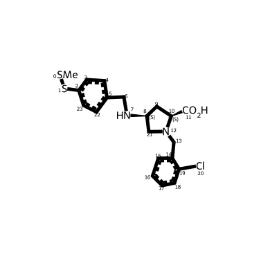 CSSc1ccc(CN[C@H]2C[C@@H](C(=O)O)N(Cc3ccccc3Cl)C2)cc1